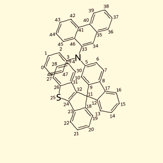 c1ccc(N(c2ccc3c(c2)C2(c4ccccc4-3)c3ccccc3-c3sc4ccccc4c32)c2cc3ccccc3c3ccccc23)cc1